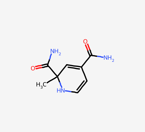 CC1(C(N)=O)C=C(C(N)=O)C=CN1